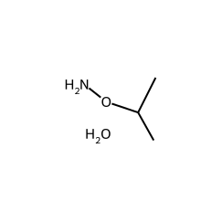 CC(C)ON.O